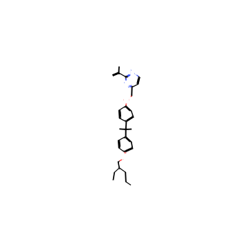 C=C(C)c1nccc(COc2ccc(C(C)(C)c3ccc(OCC(CC)CCC)cc3)cc2)n1